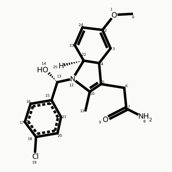 COC1=CC2C(CC(N)=O)=C(C)N([C@@H](O)c3ccc(Cl)cc3)[C@H]2C=C1